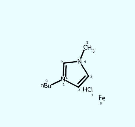 CCCC[n+]1ccn(C)c1.Cl.[Fe]